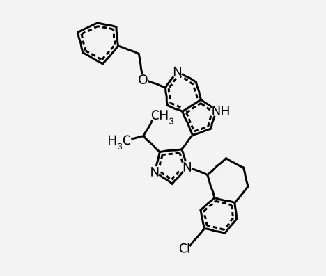 CC(C)c1ncn(C2CCCc3ccc(Cl)cc32)c1-c1c[nH]c2cnc(OCc3ccccc3)cc12